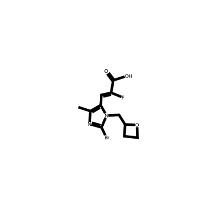 Cc1nc(Br)n(CC2CCO2)c1/C=C(\F)C(=O)O